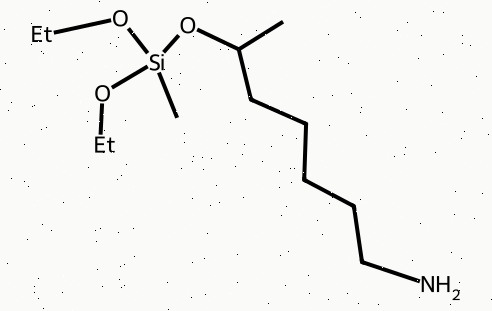 CCO[Si](C)(OCC)OC(C)CCCCCN